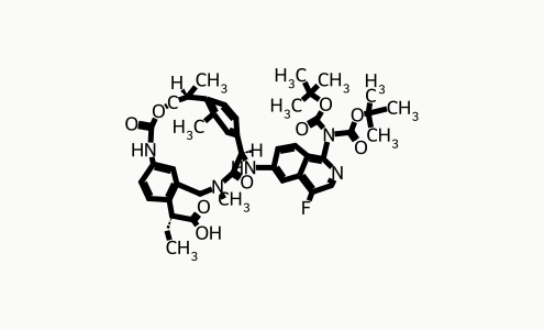 CC[C@@H](C(=O)O)c1ccc2cc1CN(C)C(=O)[C@H](Nc1ccc3c(N(C(=O)OC(C)(C)C)C(=O)OC(C)(C)C)ncc(F)c3c1)c1ccc(c(C)c1)[C@@H](C)COC(=O)N2